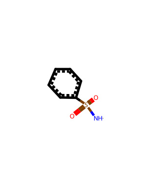 [NH]S(=O)(=O)c1ccccc1